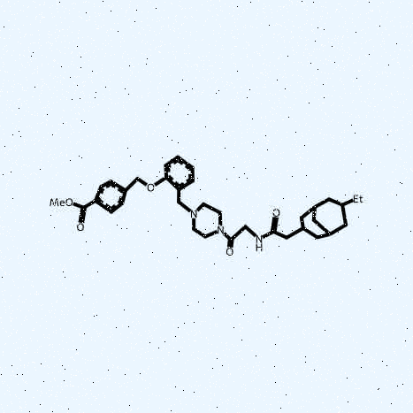 CCC1CC2CC(CC(=O)NCC(=O)N3CCN(Cc4ccccc4OCc4ccc(C(=O)OC)cc4)CC3)CC(C1)C2